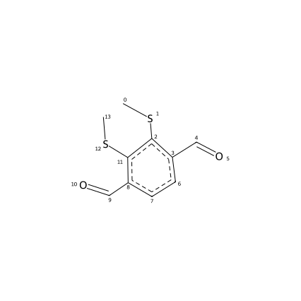 CSc1c(C=O)ccc(C=O)c1SC